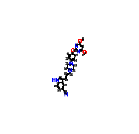 COc1cc(OC)nc(Oc2ccc(N3CCN(CCCc4c[nH]c5ccc(C#N)cc45)CC3)cc2)n1